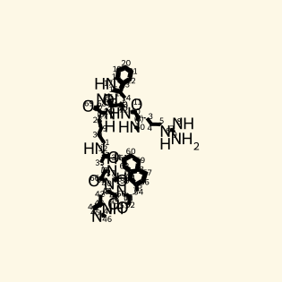 CN[C@@H](CCCNC(=N)N)C(=O)N[C@@H](Cc1c[nH]c2ccccc12)C(=O)N[C@@H](CCCCNC(=O)C[C@@H]1NC(=O)N([C@@H](Cc2cnc[nH]2)C(=O)N[C@@H](C=O)Cc2ccc3ccccc3c2)C1=O)C(N)=O